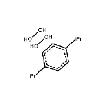 CC(C)c1ccc(C(C)C)cc1.OO.OO